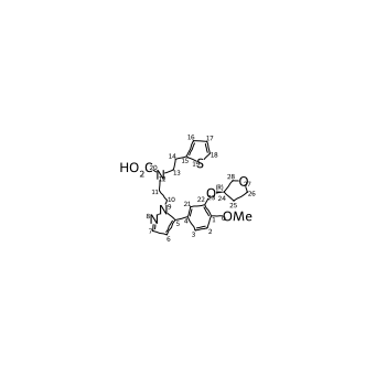 COc1ccc(-c2ccnn2CCN(CCc2cccs2)C(=O)O)cc1O[C@@H]1CCOC1